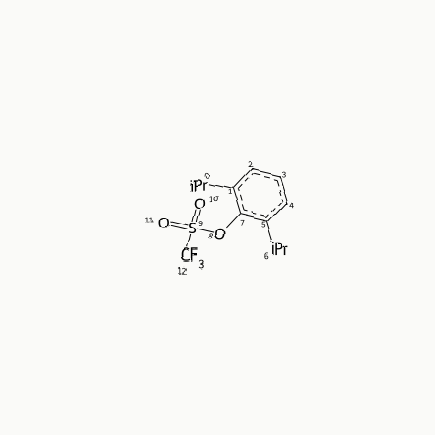 CC(C)c1cccc(C(C)C)c1OS(=O)(=O)C(F)(F)F